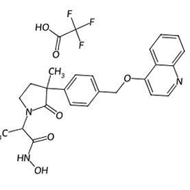 CC(C(=O)NO)N1CCC(C)(c2ccc(COc3ccnc4ccccc34)cc2)C1=O.O=C(O)C(F)(F)F